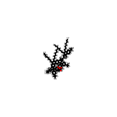 CCCCCCCCc1c(CCCCCCCC)c2cc(C(C)(C)C)ccc2c2ccc(-c3cc4c(s3)-c3cc5c(CCCCCCCC)c(CCCCCCCC)c6cc7c(cc6c5cc3C4(c3ccc(C(C)(C)C)cc3)c3ccc(C(C)(C)C)cc3)C(c3ccc(C(C)(C)C)cc3)(c3ccc(C(C)(C)C)cc3)c3cc(C(C)(C)C)sc3-7)cc12